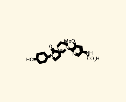 COc1cc(NC(=O)O)cnc1N1CCC[C@@]2(CCN(C3CCC(O)CC3)C2=O)C1